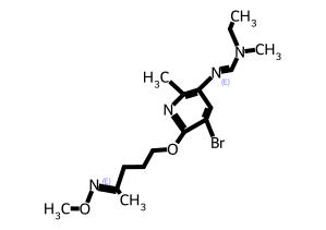 CCN(C)/C=N/c1cc(Br)c(OCCC/C(C)=N/OC)nc1C